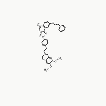 COc1cc2c(cc1OC)CN(CCc1ccc(-n3nnc(-c4cc(OCCc5cccnc5)ccc4[N+](=O)[O-])n3)cc1)CC2